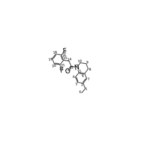 CCc1ccc2c(c1)CCCN2C(=O)Cc1c(F)cccc1F